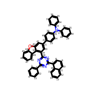 c1ccc(-c2nc(-c3cccc4ccccc34)nc(-c3cc(-c4ccc(N(c5ccccc5)c5ccccc5)cc4)cc4oc5ccccc5c34)n2)cc1